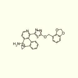 NC(=O)c1ccnc(-c2nnc(OCc3cccc4c3OCO4)s2)c1-c1ccccc1C1CC1